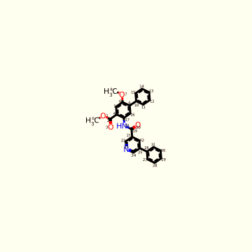 COC(=O)c1cc(OC)c(-c2ccccc2)cc1NC(=O)c1cncc(-c2ccccc2)c1